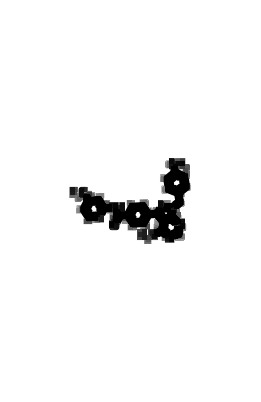 Nc1ccc(Cn2nc(-c3ccc(C(=O)Nc4cc(C(F)(F)F)ccn4)cc3)c3c(N)ncnc32)cc1